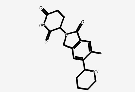 O=C1CCC(N2Cc3cc(C4CCCCN4)c(F)cc3C2=O)C(=O)N1